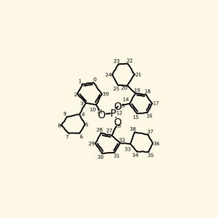 c1ccc(C2CCCCC2)c(OP(Oc2ccccc2C2CCCCC2)Oc2ccccc2C2CCCCC2)c1